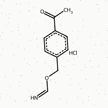 CC(=O)c1ccc(COC=N)cc1.Cl